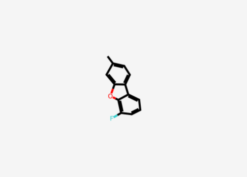 Cc1ccc2c(c1)oc1c(F)cccc12